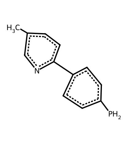 Cc1ccc(-c2ccc(P)cc2)nc1